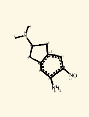 CN(C)C1Cc2cc(N)c(N=O)cc2C1